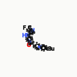 CC(C)(C)c1ccc(N2CCC(CCC(=O)N3CCC(Nc4ccnc(C(F)(F)F)c4)CC3)CC2)cc1